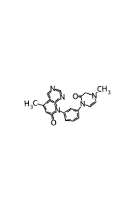 Cc1cc(=O)n(-c2cccc(N3C=CN(C)CC3=O)c2)c2ncncc12